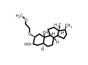 COCCO[C@H]1C[C@@]2(C)[C@@H](CC[C@@H]3[C@@H]2CC[C@]2(C)[C@@H](C)CC[C@@H]32)C[C@@H]1O